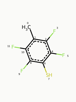 Cc1c(F)c(F)c(S)c(F)c1F